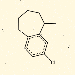 CC1CCCCc2ccc(Cl)cc21